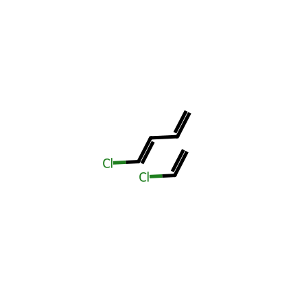 C=CC=CCl.C=CCl